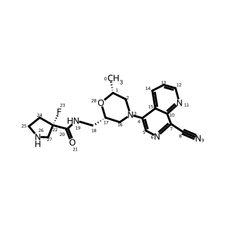 C[C@@H]1CN(c2cnc(C#N)c3ncccc23)C[C@H](CNC(=O)[C@]2(F)CCNC2)O1